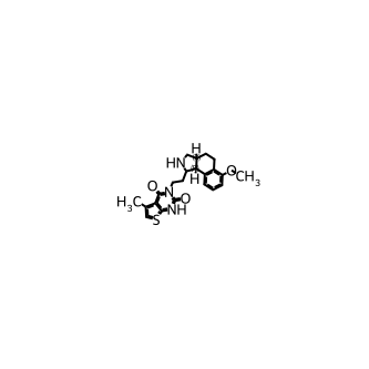 COc1cccc2c1CC[C@H]1CNC(CCn3c(=O)[nH]c4scc(C)c4c3=O)[C@@H]21